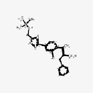 C/C(=C(/Cc1ccccc1)C(=O)O)c1ncc(-c2nnc(CO[Si](C)(C)C(C)(C)C)o2)cc1Cl